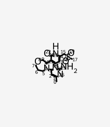 Cc1cc(N2CCCOCC2c2ccc(CS(C)(=O)=O)[nH]c2=O)nc(N)n1